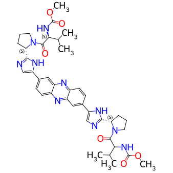 COC(=O)NC(C(=O)N1CCC[C@H]1c1ncc(-c2ccc3nc4cc(-c5cnc([C@@H]6CCCN6C(=O)[C@@H](NC(=O)OC)C(C)C)[nH]5)ccc4nc3c2)[nH]1)C(C)C